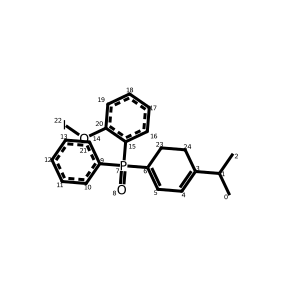 CC(C)C1=CC=C(P(=O)(c2ccccc2)c2ccccc2OI)CC1